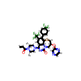 C=CC(=O)N1[C@H](C)CN(c2nc(=O)n3c4c(c(C5=CCC(F)(F)CC5)c(C(F)(F)F)cc24)SC[C@@H](Oc2cnccn2)C3)C[C@@H]1C